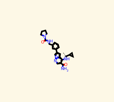 C[C@@H](Nc1c(C(N)=O)cnn2cc(-c3cccc(CNC(=O)N4CCCC4)c3)cc12)C1CC1